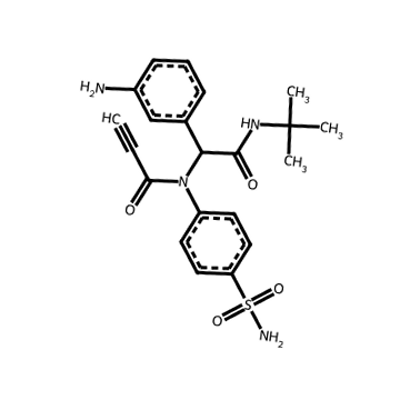 C#CC(=O)N(c1ccc(S(N)(=O)=O)cc1)C(C(=O)NC(C)(C)C)c1cccc(N)c1